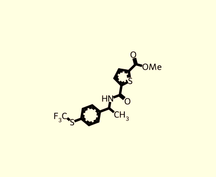 COC(=O)c1ccc(C(=O)NC(C)c2ccc(SC(F)(F)F)cc2)s1